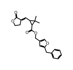 CC1(C)C(C=C2CCOC2=O)C1C(=O)OCc1coc(Cc2ccccc2)c1